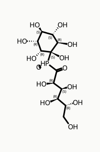 O=C([C@H](O)[C@@H](O)[C@H](O)[C@H](O)CO)[PH](=O)[C@]1(O)[C@H](O)[C@H](O)[C@@H](O)[C@H](O)[C@H]1O